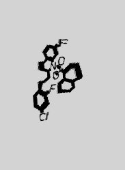 O=S(=O)(c1cccc2c1CCCC2)N1c2cc(F)ccc2CCC1CCc1ccc(Cl)cc1F